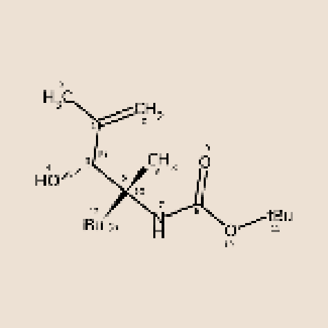 C=C(C)[C@@H](O)[C@](C)(NC(=O)OC(C)(C)C)[C@H](C)CC